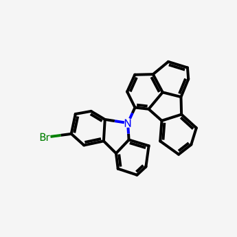 Brc1ccc2c(c1)c1ccccc1n2-c1ccc2cccc3c2c1-c1ccccc1-3